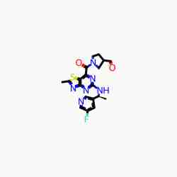 Cc1nc2nc(N[C@@H](C)c3cncc(F)c3)nc(C(=O)N3CCC(C=O)C3)c2s1